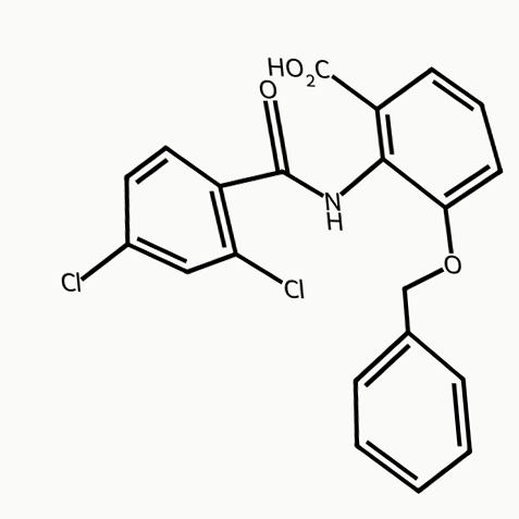 O=C(Nc1c(OCc2ccccc2)cccc1C(=O)O)c1ccc(Cl)cc1Cl